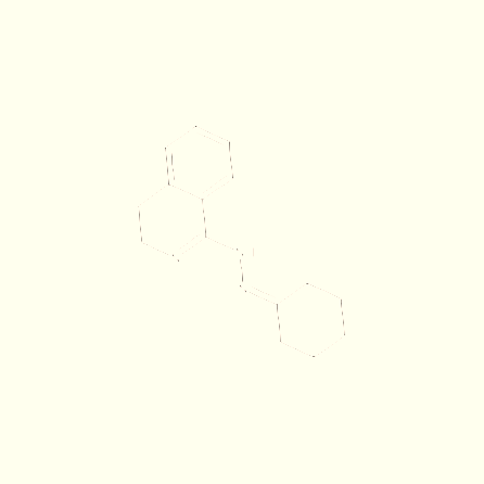 c1ccc2c(c1)CCN=C2NN=C1CCCCC1